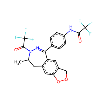 CC1Cc2cc3c(cc2C(c2ccc(NC(=O)C(F)(F)F)cc2)=NN1C(=O)C(F)(F)F)COO3